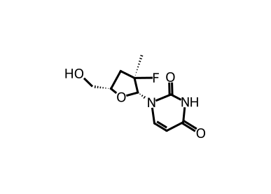 C[C@@]1(F)C[C@@H](CO)O[C@H]1n1ccc(=O)[nH]c1=O